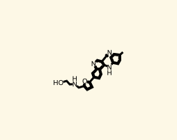 Cc1ccc(Nc2c(C#N)cnc3cc(-c4ccc(CNCCO)o4)ccc23)cc1